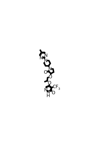 Cc1cnc(N2CCC(N3CCC(OCC(C)Oc4cn[nH]c(=O)c4C(F)(F)F)C3=O)CC2)nc1